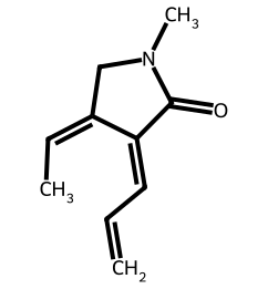 C=C/C=C1/C(=O)N(C)C/C1=C/C